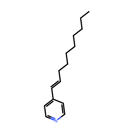 CCCCCCCCC=Cc1ccncc1